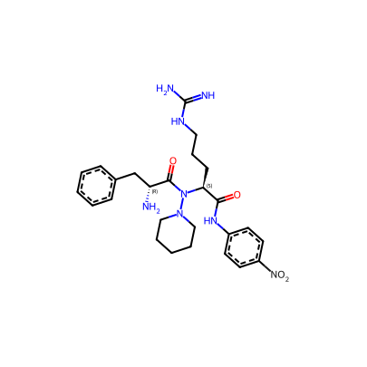 N=C(N)NCCC[C@@H](C(=O)Nc1ccc([N+](=O)[O-])cc1)N(C(=O)[C@H](N)Cc1ccccc1)N1CCCCC1